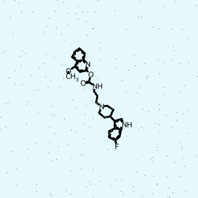 COc1cc(OC(=O)NCCCN2CCC(c3c[nH]c4cc(F)ccc34)CC2)nc2ccccc12